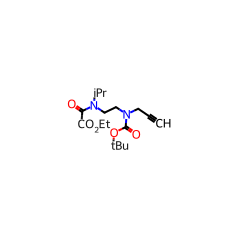 C#CCN(CCN(C(=O)C(=O)OCC)C(C)C)C(=O)OC(C)(C)C